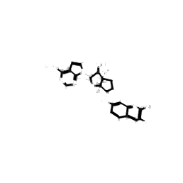 Nc1nc2cc(O[C@H]3CC[C@]4(O)C(O)[C@H](n5ccc6c(N)ncnc65)O[C@H]34)ccc2cc1F